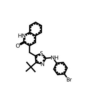 CC(C)(C)c1nc(Nc2ccc(Br)cc2)sc1Cc1cc2ccccc2[nH]c1=O